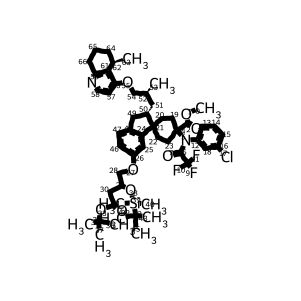 COC(=O)C1(N(C(=O)C(F)(F)F)c2cccc(Cl)c2)CCC2(CC1)c1cc(OCC(CC(=O)OC(C)(C)C)O[Si](C)(C)C(C)(C)C)ccc1C[C@@H]2C[C@@H](C)COc1ccnc2c1[C@H](C)CCC2